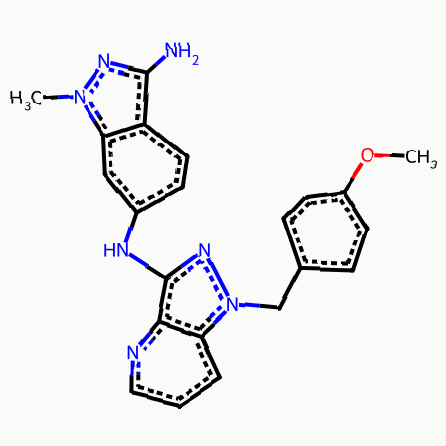 COc1ccc(Cn2nc(Nc3ccc4c(N)nn(C)c4c3)c3ncccc32)cc1